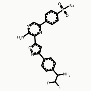 CCC(C)S(=O)(=O)c1ccc(-c2cnc(N)c(-c3cc(-c4ccc(C(N)C(F)F)cc4)no3)n2)cc1